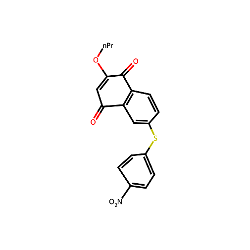 CCCOC1=CC(=O)c2cc(Sc3ccc([N+](=O)[O-])cc3)ccc2C1=O